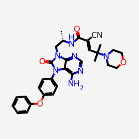 C[C@@H](Cn1c(=O)n(-c2ccc(Oc3ccccc3)cc2)c2c(N)ncnc21)NC(=O)C(C#N)=CC(C)(C)N1CCOCC1